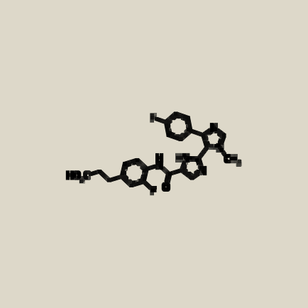 Cn1cnc(-c2ccc(F)cc2)c1-c1ncc(C(=O)Nc2ccc(CCC(=O)O)cc2F)[nH]1